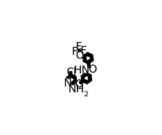 Nc1ncc(Cl)cc1Oc1cccc(NC(=O)c2cccc(OC(F)(F)F)c2)c1